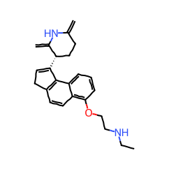 C=C1CC[C@H](C2=CCc3ccc4c(OCCNCC)cccc4c32)C(=C)N1